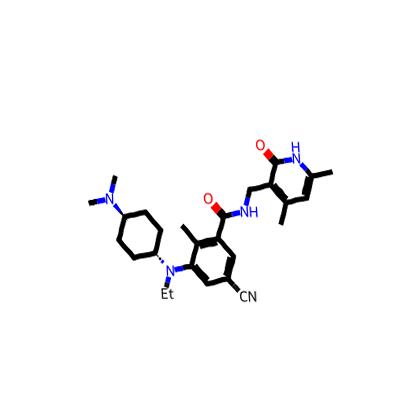 CCN(c1cc(C#N)cc(C(=O)NCc2c(C)cc(C)[nH]c2=O)c1C)[C@H]1CC[C@H](N(C)C)CC1